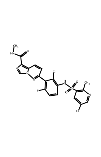 CNC(=O)c1ncn2nc(-c3c(F)ccc(NS(=O)(=O)c4cc(Cl)cnc4C)c3Cl)ccc12